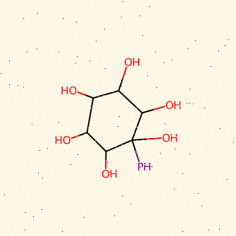 OC1C(O)C(O)C(O)([PH])C(O)C1O